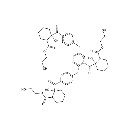 O=C(OCCO)C1CCCCC1(O)C(=O)c1ccc(Cc2ccc(Cc3ccc(C(=O)C4(O)CCCCC4C(=O)OCCO)cc3)c(C(=O)C3(O)CCCCC3C(=O)OCCO)c2)cc1